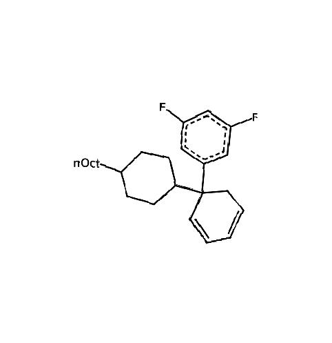 CCCCCCCCC1CCC(C2(c3cc(F)cc(F)c3)C=CC=CC2)CC1